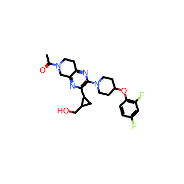 CC(=O)N1CCc2nc(N3CCC(Oc4ccc(F)cc4F)CC3)c(C3CC3CO)nc2C1